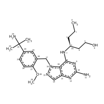 CCC[C@@H](CCO)Nc1nc(N)nc2cnn(Cc3cc(C(C)(C)N)ccc3OC)c12